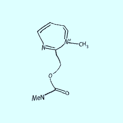 CNC(=O)OCc1nccc[n+]1C